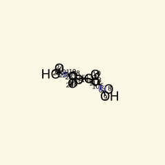 COc1cc(/C=C/C(=O)O)ccc1OCCOc1ccc(/C=C/C(=O)O)cc1OC